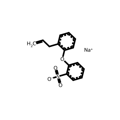 C=CCc1ccccc1Oc1ccccc1S(=O)(=O)[O-].[Na+]